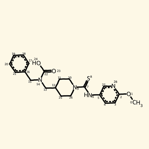 COc1ccc(NC(=S)N2CCC(CN(Cc3ccccc3)C(=O)O)CC2)cn1